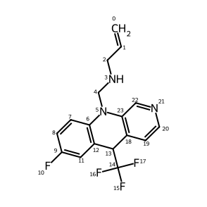 C=CCNCN1c2ccc(F)cc2C(C(F)(F)F)c2ccncc21